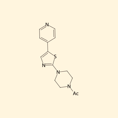 CC(=O)N1CCN(c2ncc(-c3ccncc3)s2)CC1